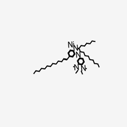 CCCCCCCCCCCC=Cc1ccc(N=C(CCCCCC)C(CCCCCCCC)=Nc2ccc(N(C)CC)c(N(C)CC)c2)cc1.[Ni]